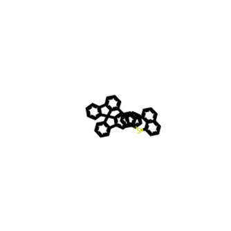 c1ccc2c(c1)-c1cc3ccccc3cc1C21c2ccccc2-c2cccc(-c3ccc4c(c3)-c3cccc5cccc(c35)S4)c21